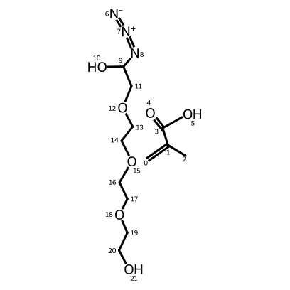 C=C(C)C(=O)O.[N-]=[N+]=NC(O)COCCOCCOCCO